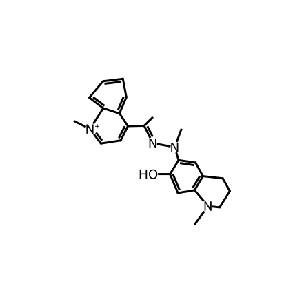 C/C(=N\N(C)c1cc2c(cc1O)N(C)CCC2)c1cc[n+](C)c2ccccc12